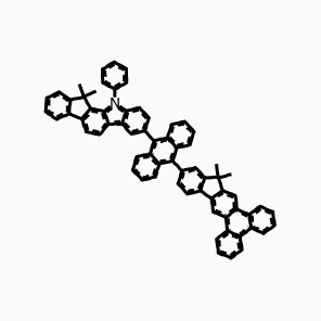 CC1(C)c2cc(-c3c4ccccc4c(-c4ccc5c(c4)c4ccc6c(c4n5-c4ccccc4)C(C)(C)c4ccccc4-6)c4ccccc34)ccc2-c2cc3c4ccccc4c4ccccc4c3cc21